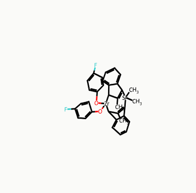 CC1=C2c3ccccc3[CH]1[Zr]([O]c1ccc(F)cc1)([O]c1ccc(F)cc1)[CH]1C(C)=C(c3ccccc31)[Si]2(C)C